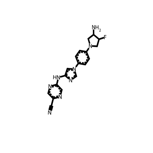 N#Cc1cnc(Nc2cn(-c3ccc(N4CC(N)C(F)C4)cc3)cn2)cn1